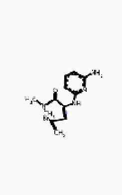 C=C(Br)/C=C(/Nc1cccc(N)n1)C(=O)N(C)C